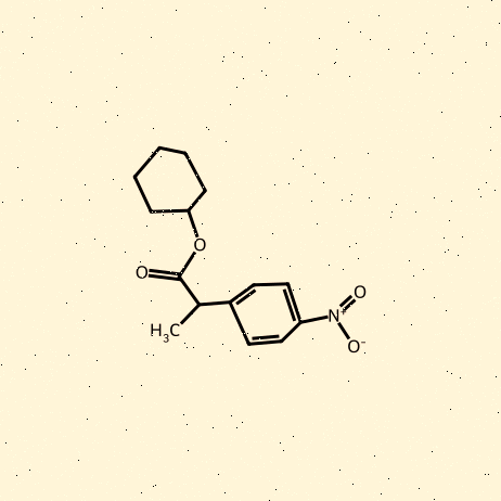 CC(C(=O)OC1CCCCC1)c1ccc([N+](=O)[O-])cc1